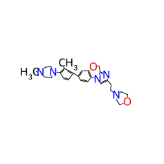 Cc1cc(-c2ccc3c(c2)OCc2nc(CCN4CCOCC4)cn2-3)ccc1N1CCN(C)CC1